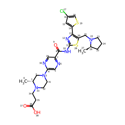 C[C@@H]1CN(c2cnc(C(=O)Nc3nc(-c4cc(Cl)cs4)c(CN4CCC[C@H]4C)s3)cn2)CCN1CCC(=O)O